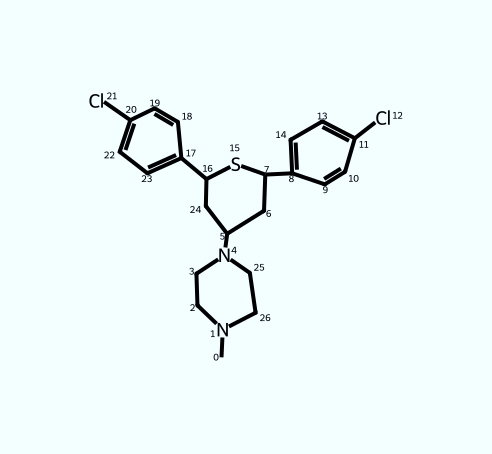 CN1CCN(C2CC(c3ccc(Cl)cc3)SC(c3ccc(Cl)cc3)C2)CC1